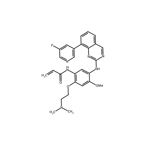 C=CC(=O)Nc1cc(Nc2ncc3cccc(-c4cncc(F)c4)c3n2)c(OC)cc1OCCN(C)C